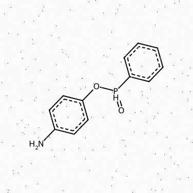 Nc1ccc(O[PH](=O)c2ccccc2)cc1